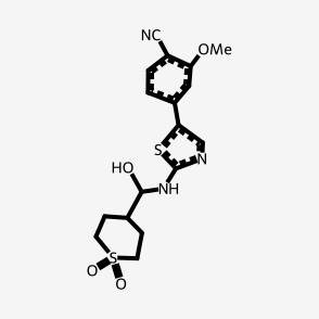 COc1cc(-c2cnc(NC(O)C3CCS(=O)(=O)CC3)s2)ccc1C#N